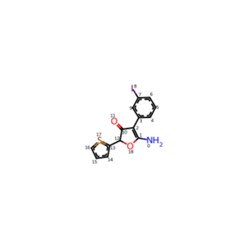 NC1=C(c2cccc(I)c2)C(=O)C(c2cccs2)O1